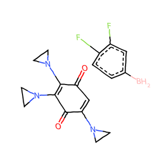 Bc1ccc(F)c(F)c1.O=C1C=C(N2CC2)C(=O)C(N2CC2)=C1N1CC1